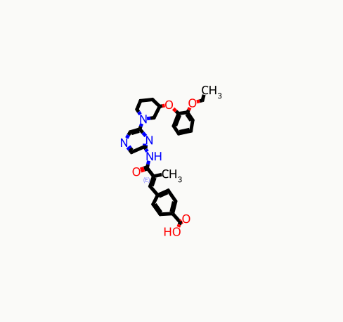 CCOc1ccccc1OC1CCCN(c2cncc(NC(=O)/C(C)=C/c3ccc(C(=O)O)cc3)n2)C1